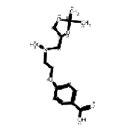 CN(CCOc1ccc(C(=O)O)cc1)CC1COC(C)(C)O1